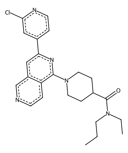 CCCN(CC)C(=O)C1CCN(c2nc(-c3ccnc(Cl)c3)cc3cnccc23)CC1